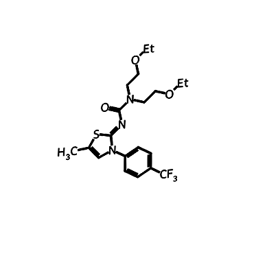 CCOCCN(CCOCC)C(=O)/N=c1\sc(C)cn1-c1ccc(C(F)(F)F)cc1